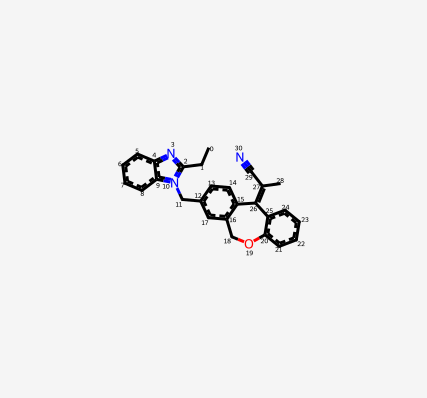 CCc1nc2ccccc2n1Cc1ccc2c(c1)COc1ccccc1C2=C(C)C#N